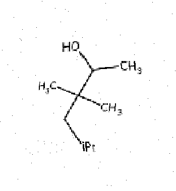 CC(C)CC(C)(C)C(C)O